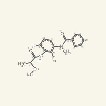 CCOC(C)C(=O)Nc1c(F)ccc(N(C)C(=O)c2ccccc2)c1F